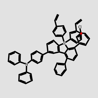 C=Cc1ccc(S2(c3cccc(C=C)c3)c3ccc(-c4ccc(N(c5ccccc5)c5ccccc5)cc4)cc3-c3c(-c4ccccc4)ccc(-c4cccc(Cl)c4)c32)cc1